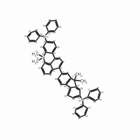 CC1(C)c2cc(-c3ccc4c5c(cccc35)[Si](C)(C)c3cc(N(c5ccccc5)c5ccccc5)ccc3-4)ccc2-c2ccc(N(c3ccccc3)c3ccccc3)cc21